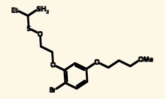 CCC([SiH3])SOCCOc1cc(OCCCOC)ccc1Br